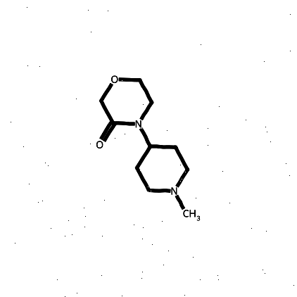 CN1CCC(N2CCOCC2=O)CC1